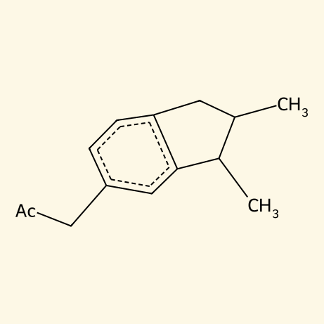 CC(=O)Cc1ccc2c(c1)C(C)C(C)C2